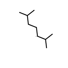 CC(C)[CH]CCC(C)C